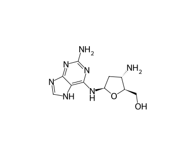 Nc1nc(N[C@H]2C[C@H](N)[C@@H](CO)O2)c2[nH]cnc2n1